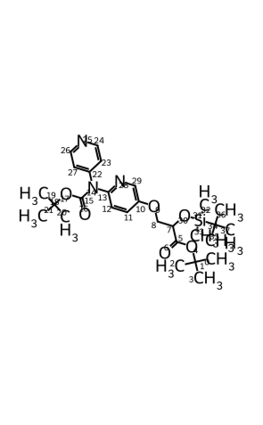 CC(C)(C)OC(=O)C(COc1ccc(N(C(=O)OC(C)(C)C)c2ccncc2)nc1)O[Si](C)(C)C(C)(C)C